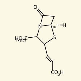 O=C(O)C=CC1S[C@@H]2CC(=O)N2C1C(=O)O.[NaH]